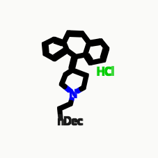 CCCCCCCCCCCCN1CCC(=C2c3ccccc3C=Cc3ccccc32)CC1.Cl